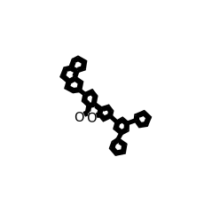 O=c1oc2cc(-c3cc(-c4ccccc4)cc(-c4ccccc4)c3)ccc2c2ccc(-c3ccc4ccc5ccccc5c4c3)cc12